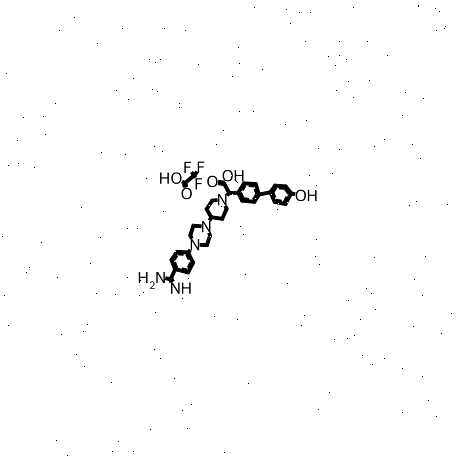 N=C(N)c1ccc(N2CCN(C3CCN(C(C(=O)O)c4ccc(-c5ccc(O)cc5)cc4)CC3)CC2)cc1.O=C(O)C(F)(F)F